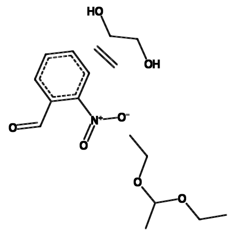 C=C.CCOC(C)OCC.O=Cc1ccccc1[N+](=O)[O-].OCCO